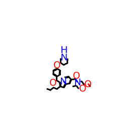 CCCCc1cc2cc(C(=O)N(CC(=O)OC)C(C)C)ccn2c1C(=O)c1ccc(OC2CCCNC2)cc1